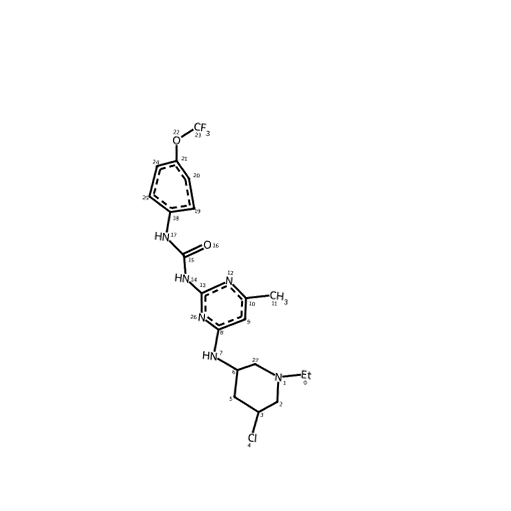 CCN1CC(Cl)CC(Nc2cc(C)nc(NC(=O)Nc3ccc(OC(F)(F)F)cc3)n2)C1